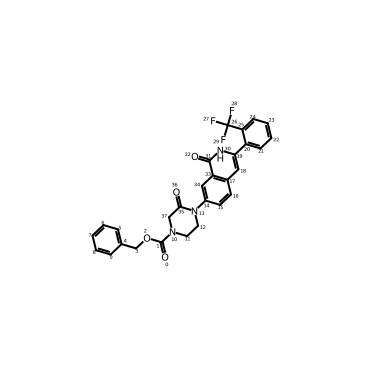 O=C(OCc1ccccc1)N1CCN(c2ccc3cc(-c4ccccc4C(F)(F)F)[nH]c(=O)c3c2)C(=O)C1